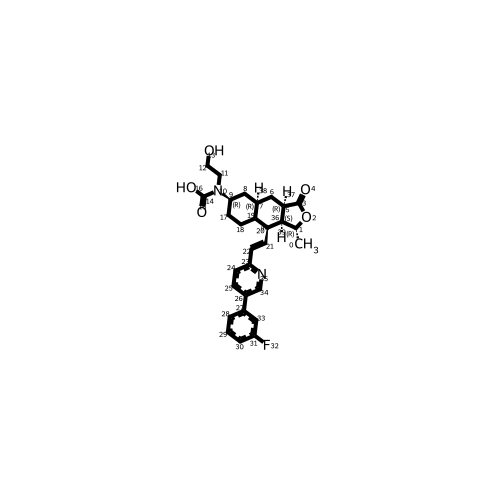 C[C@H]1OC(=O)[C@@H]2C[C@@H]3C[C@H](N(CCO)C(=O)O)CCC3[C@H](C=Cc3ccc(-c4cccc(F)c4)cn3)[C@H]12